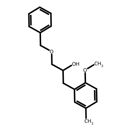 COc1ccc(C)cc1CC(O)COCc1ccccc1